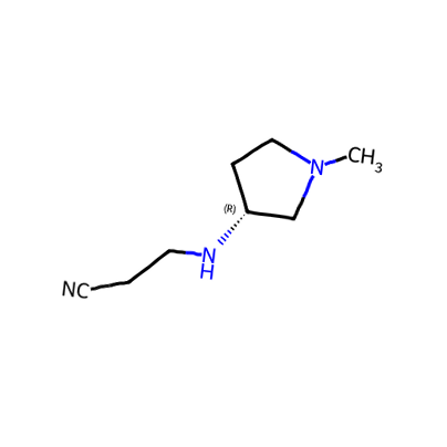 CN1CC[C@@H](NCCC#N)C1